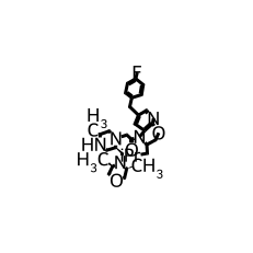 CC(C)CC1COc2ncc(Cc3ccc(F)cc3)cc2N1C(=O)CN1C[C@@H](C)NC[C@@H]1CN1[C@H](C)COC[C@H]1C